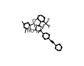 Cc1cc(C)nc(COc2cccc(C(F)(F)F)c2-c2nc(O)nc(-c3ccc(C#Cc4ccccc4)cc3)n2)c1